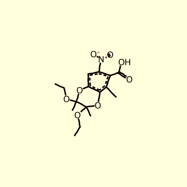 CCOC1(C)Oc2cc([N+](=O)[O-])c(C(=O)O)c(C)c2OC1(C)OCC